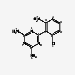 Nc1nc(N)nc(-c2c(Cl)cccc2[N+](=O)[O-])n1